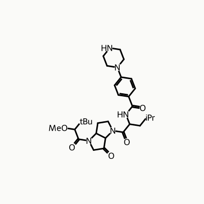 COC(C(=O)N1CC(=O)C2C1CCN2C(=O)C(CC(C)C)NC(=O)c1ccc(N2CCNCC2)cc1)C(C)(C)C